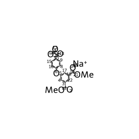 COC(=O)c1cc(Oc2ccc(S(=O)(=O)[O-])cc2)cc(C(=O)OC)c1.[Na+]